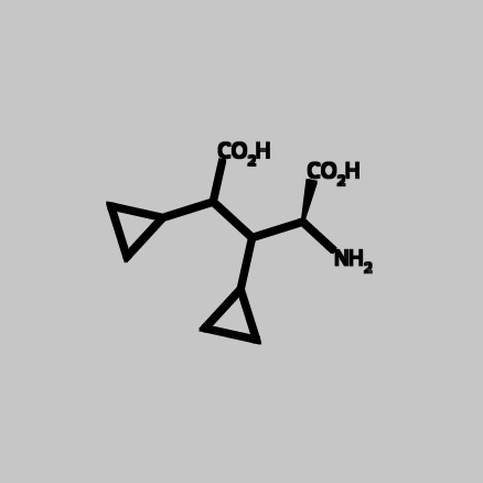 N[C@H](C(=O)O)C(C1CC1)C(C(=O)O)C1CC1